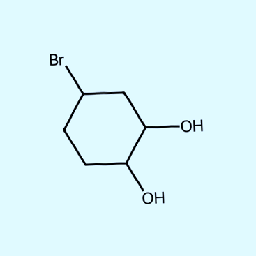 OC1CCC(Br)CC1O